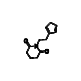 O=C1CCCC(=O)N1CCC1=CCC=C1